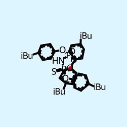 CCC(C)c1ccc(OP(=O)(NP(=S)(Oc2ccc(C(C)CC)cc2)Oc2ccc(C(C)CC)cc2)Oc2ccc(C(C)CC)cc2)cc1